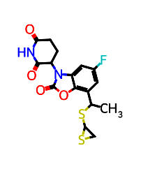 CC(SC1CS1)c1cc(F)cc2c1oc(=O)n2C1CCC(=O)NC1=O